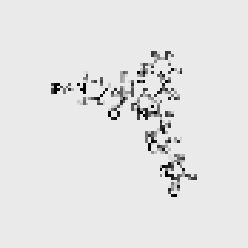 CC(C)N1CCC(NC(=O)c2cc(C(=O)N3CCCC3C(F)(F)F)n(Cc3cc(-c4ccc(Cl)s4)on3)n2)CC1